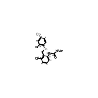 CCc1ccc(OCc2c(Cl)cccc2NC(=O)NC)c(C)c1